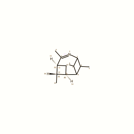 C/C1=N/C2C(C)C(C2C)[C@@H]2C[C@H]1[C@H]2C